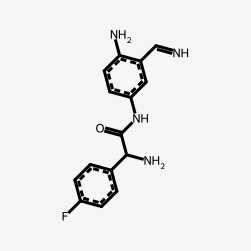 N=Cc1cc(NC(=O)C(N)c2ccc(F)cc2)ccc1N